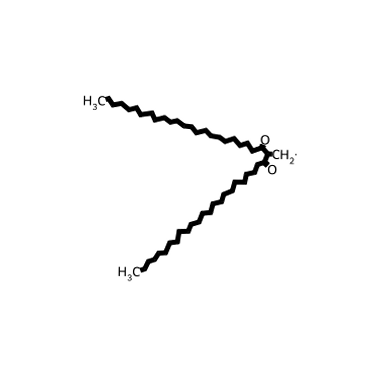 [CH2]C(C(=O)CCCCCCCCCCCCCCCCCCCCCCC)C(=O)CCCCCCCCCCCCCCCCCCCCCCC